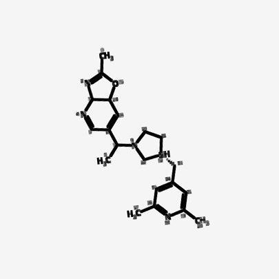 CC1=NC2N=CC(C(C)N3CC[Si@H](Cc4cc(C)nc(C)c4)C3)=CC2O1